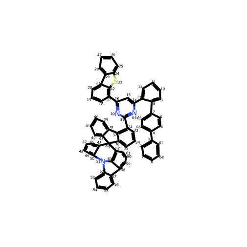 c1ccc(-c2ccc(-c3ccccc3-c3cc(-c4cccc5c4sc4ccccc45)nc(-c4cccc5c4-c4ccccc4C54c5ccccc5-n5c6ccccc6c6cccc4c65)n3)cc2)cc1